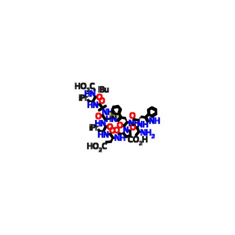 CC[C@H](C)[C@H](NC(=O)[C@H](CC(C)C)NC(=O)C(C)(C)NC(=O)[C@H](CS)NC(=O)[C@H](CC(C)C)NC(=O)[C@H](CCC(=O)O)NC(=O)[C@@H]1CCCN1C(=O)[C@H](Cc1c[nH]c2ccccc12)NC(=O)[C@H](Cc1c[nH]c2ccccc12)NC(=O)[C@@H](N)CC(=O)O)C(=O)O